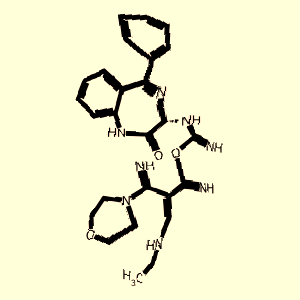 CCN/C=C(/C(=N)OC(=N)N[C@H]1N=C(c2ccccc2)c2ccccc2NC1=O)C(=N)N1CCOCC1